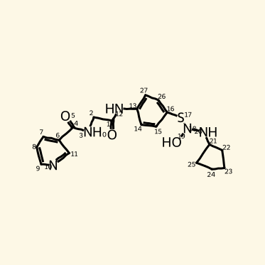 O=C(CNC(=O)c1cccnc1)Nc1ccc(SN(O)NC2CCCC2)cc1